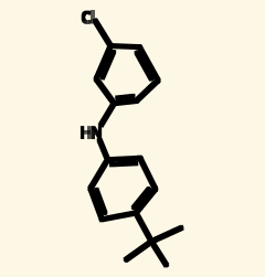 CC(C)(C)c1ccc(Nc2cccc(Cl)c2)cc1